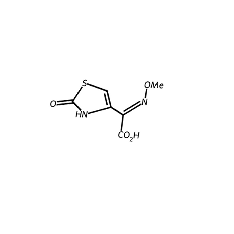 CO/N=C(/C(=O)O)c1csc(=O)[nH]1